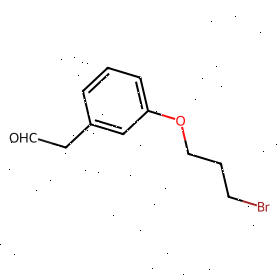 O=CCc1cccc(OCCCBr)c1